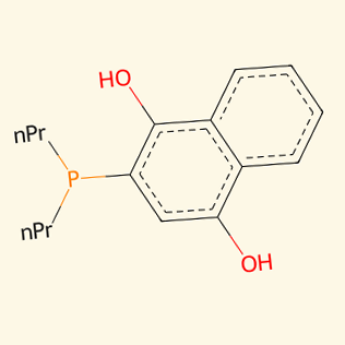 CCCP(CCC)c1cc(O)c2ccccc2c1O